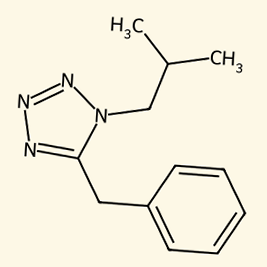 CC(C)Cn1nnnc1Cc1ccccc1